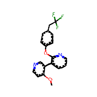 COc1ccncc1-c1cccnc1Oc1ccc(CC(F)(F)F)cc1